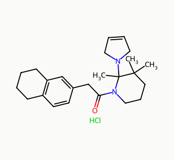 CC1(C)CCCN(C(=O)Cc2ccc3c(c2)CCCC3)C1(C)N1CC=CC1.Cl